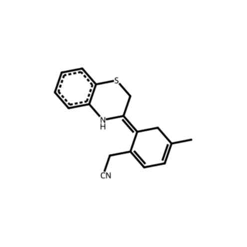 CC1=CC=C(CC#N)C(=C2CSc3ccccc3N2)C1